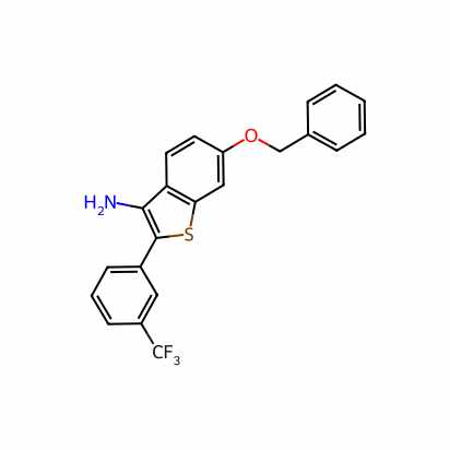 Nc1c(-c2cccc(C(F)(F)F)c2)sc2cc(OCc3ccccc3)ccc12